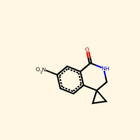 O=C1NCC2(CC2)c2ccc([N+](=O)[O-])cc21